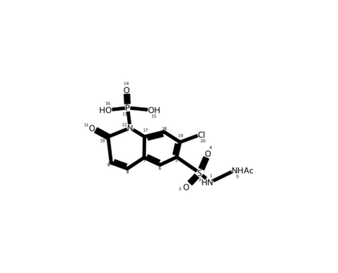 CC(=O)NNS(=O)(=O)c1cc2c[c]c(=O)n(P(=O)(O)O)c2cc1Cl